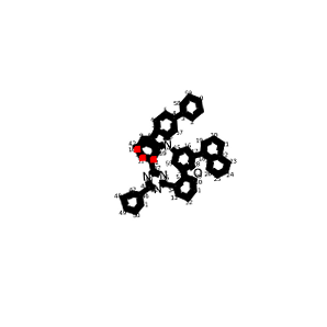 c1ccc(-c2ccc3c4ccccc4n(-c4cc(-c5cccc6ccccc56)c5oc6cccc(-c7nc(-c8ccccc8)nc(-c8ccccc8)n7)c6c5c4)c3c2)cc1